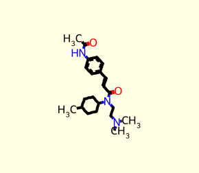 CC(=O)Nc1ccc(C=CC(=O)N(CCN(C)C)C2CCC(C)CC2)cc1